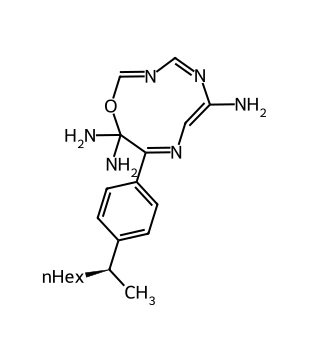 CCCCCC[C@H](C)c1ccc(/C2=N/C=C(N)/N=C\N=C\OC2(N)N)cc1